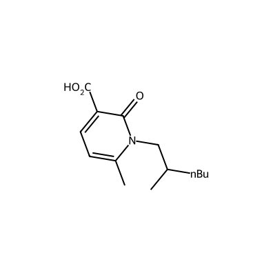 CCCCC(C)Cn1c(C)ccc(C(=O)O)c1=O